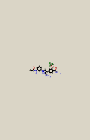 C=CC(=O)Nc1cccc(-n2cc(-c3ccc(C(N)=O)c(OC(F)(F)F)c3)c(N)n2)c1